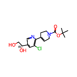 CC(C)(C)OC(=O)N1CC=C(c2ncc([C@H](O)CO)cc2Cl)CC1